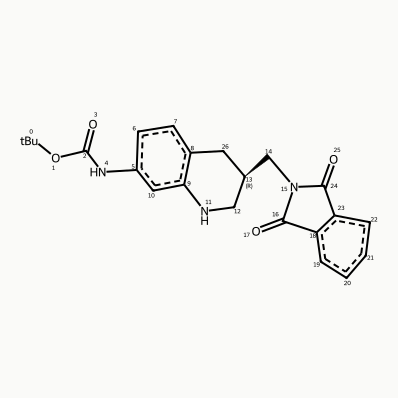 CC(C)(C)OC(=O)Nc1ccc2c(c1)NC[C@H](CN1C(=O)c3ccccc3C1=O)C2